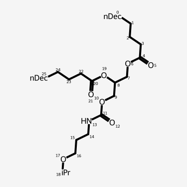 CCCCCCCCCCCCCC(=O)OCC(COC(=O)NCCCOC(C)C)OC(=O)CCCCCCCCCCCCC